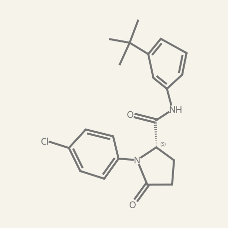 CC(C)(C)c1cccc(NC(=O)[C@@H]2CCC(=O)N2c2ccc(Cl)cc2)c1